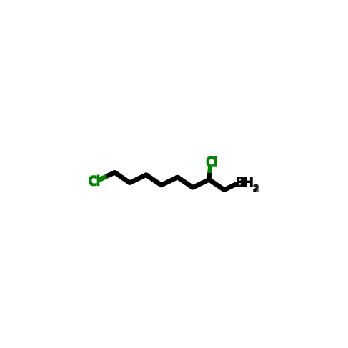 BCC(Cl)CCCCCCCl